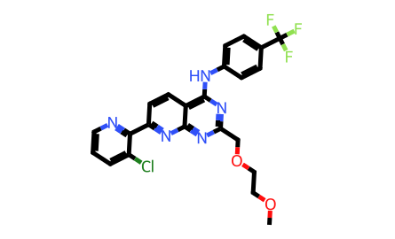 COCCOCc1nc(Nc2ccc(C(F)(F)F)cc2)c2ccc(-c3ncccc3Cl)nc2n1